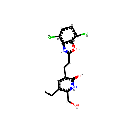 CCc1cc(CCc2nc3c(Cl)ccc(Cl)c3o2)c(=O)[nH]c1CO